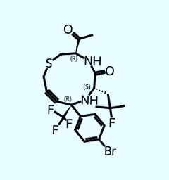 CC(=O)[C@@H]1CSCC#C[C@](c2ccc(Br)cc2)(C(F)(F)F)N[C@@H](CC(C)(C)F)C(=O)N1